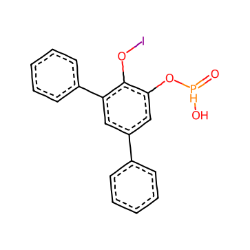 O=[PH](O)Oc1cc(-c2ccccc2)cc(-c2ccccc2)c1OI